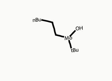 CCCCC[CH2][Mo]([OH])[C](C)(C)C